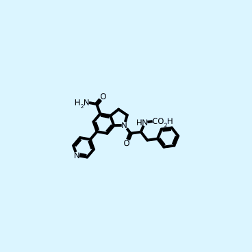 NC(=O)c1cc(-c2ccncc2)cc2c1CCN2C(=O)C(Cc1ccccc1)NC(=O)O